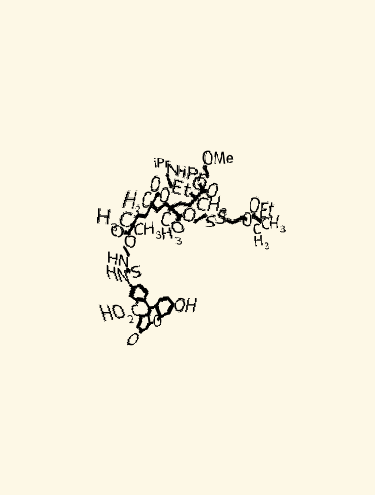 CCC(C)(C)C(=O)OCCSSCCOC(=O)C(C)(CCC(C)(CC)C(=O)OCCOC)CCC(C)(CCC(C)(C)C(=O)OCCNC(=S)Nc1ccc(-c2c3ccc(=O)cc-3oc3cc(O)ccc23)c(C(=O)O)c1)C(=O)OCCN(C(C)C)C(C)C